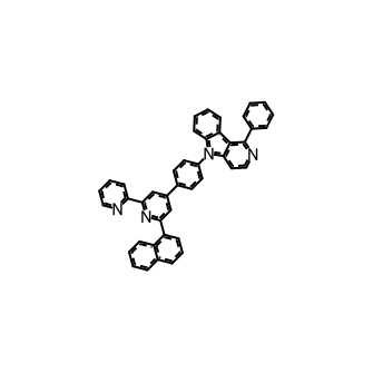 c1ccc(-c2nccc3c2c2ccccc2n3-c2ccc(-c3cc(-c4ccccn4)nc(-c4cccc5ccccc45)c3)cc2)cc1